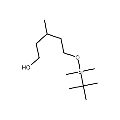 CC(CCO)CCO[Si](C)(C)C(C)(C)C